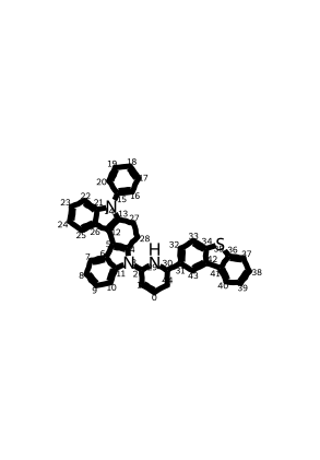 C1=CC(n2c3c(c4ccccc42)-c2c(n(-c4ccccc4)c4ccccc24)CC3)NC(c2ccc3sc4ccccc4c3c2)C1